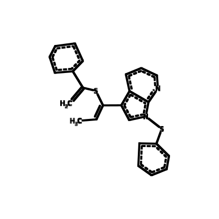 C=C(S/C(=C\C)c1cn(Sc2ccccc2)c2ncccc12)c1ccccc1